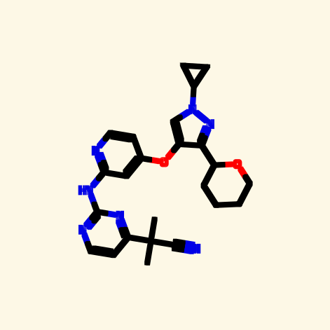 CC(C)(C#N)c1ccnc(Nc2cc(Oc3cn(C4CC4)nc3C3CCCCO3)ccn2)n1